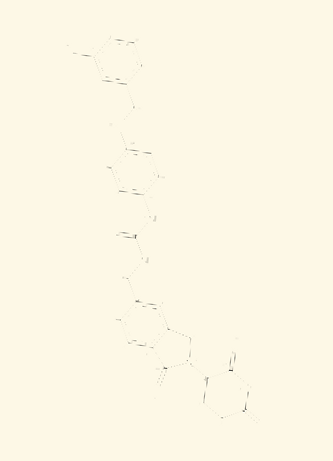 O=C1CCC(N2Cc3cc(CNC(=O)Nc4ccc(OCc5cccc(O)c5)cc4)ccc3C2=O)C(=O)N1